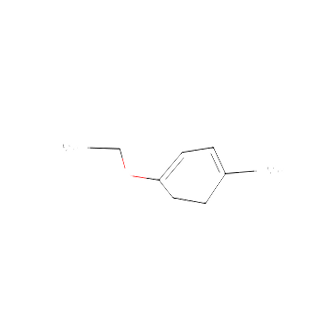 COCOC1=CC=C(OC)CC1